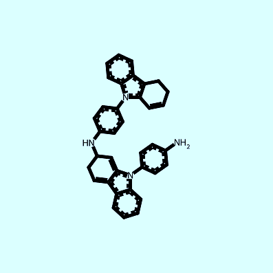 Nc1ccc(-n2c3c(c4ccccc42)=CCC(Nc2ccc(-n4c5c(c6ccccc64)CCC=C5)cc2)C=3)cc1